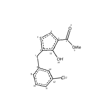 COC(=O)c1csc(Cc2cccc(Cl)c2)c1O